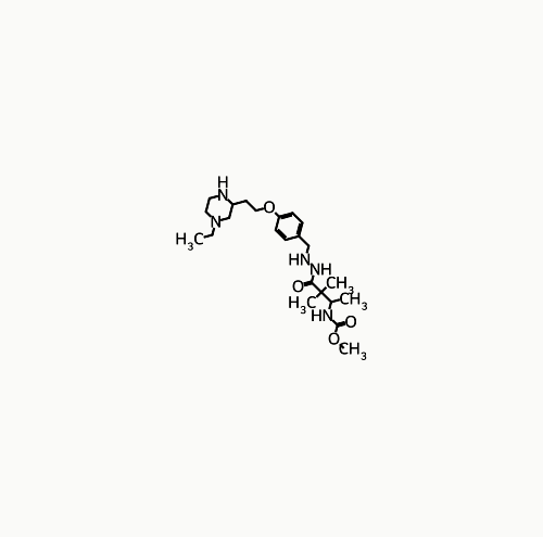 CCN1CCNC(CCOc2ccc(CNNC(=O)C(C)(C)C(C)NC(=O)OC)cc2)C1